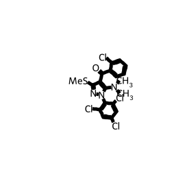 CSc1nn(-c2c(Cl)cc(Cl)cc2Cl)c(N(C)C)c1C(=O)c1ccccc1Cl